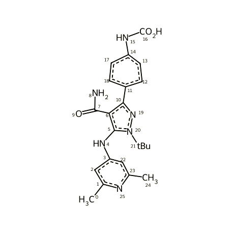 Cc1cc(Nc2c(C(N)=O)c(-c3ccc(NC(=O)O)cc3)nn2C(C)(C)C)cc(C)n1